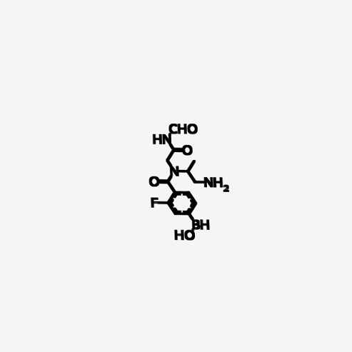 CC(CN)N(CC(=O)NC=O)C(=O)c1ccc(BO)cc1F